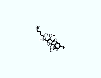 CC1(c2ccc(F)cc2Cl)OC(NC(=O)CCCBr)=C(O)C1=O